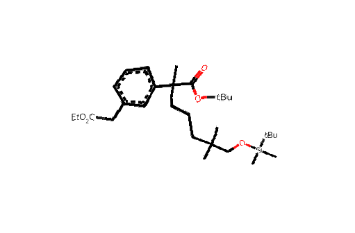 CCOC(=O)Cc1cccc(C(C)(CCCC(C)(C)CO[Si](C)(C)C(C)(C)C)C(=O)OC(C)(C)C)c1